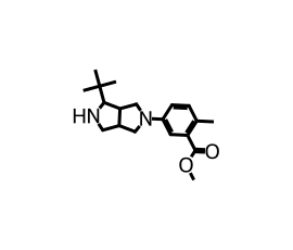 COC(=O)c1cc(N2CC3CNC(C(C)(C)C)C3C2)ccc1C